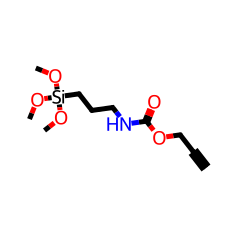 C#CCOC(=O)NCCC[Si](OC)(OC)OC